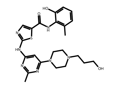 Cc1nc(Nc2ncc(C(=O)Nc3c(C)cccc3O)s2)cc(N2CCN(CCCO)CC2)n1